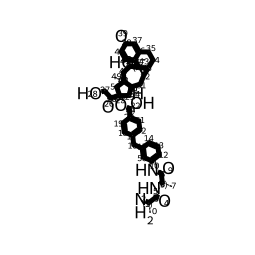 C[C@H](N)C(=O)N[C@@H](C)C(=O)Nc1cccc(Cc2ccc([C@@H](O)O[C@@]3(C(=O)CO)C[C@H]4CC5C6CCC7=CC(=O)C=C[C@]7(C)[C@@]65[C@@H](O)C[C@]4(C)C3)cc2)c1